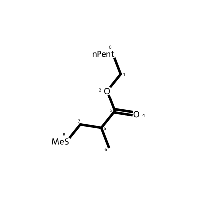 CCCCCCOC(=O)C(C)CSC